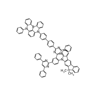 CC1(C)c2ccccc2-c2cc3c4ccccc4n(-c4ccc(-c5nc(-c6ccccc6)cc(-c6ccccc6)n5)cc4-c4nc(-c5ccccc5)nc(-c5ccc(-c6ccc(N7c8ccccc8B8c9ccccc9N(c9ccccc9)c9cccc7c98)cc6)cc5)n4)c3cc21